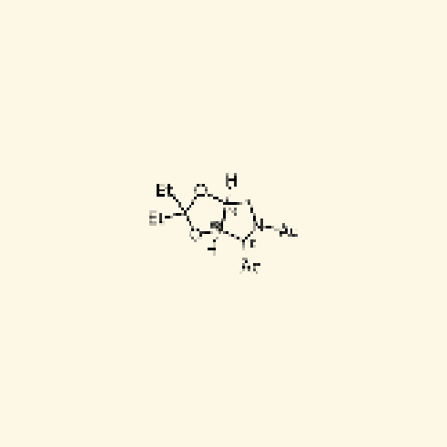 CCC1(CC)O[C@H]2[C@H](CN(C(C)=O)[C@@H]2C(C)=O)O1